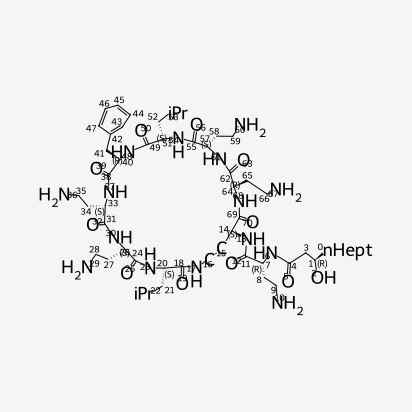 CCCCCCC[C@@H](O)CC(=O)N[C@H](CCN)C(=O)N[C@H]1CCNC(=O)[C@H](CC(C)C)NC(=O)[C@H](CCN)NC(=O)[C@H](CCN)NC(=O)[C@@H](Cc2ccccc2)NC(=O)[C@H](CC(C)C)NC(=O)[C@H](CCN)NC(=O)[C@@H](CCN)NC1=O